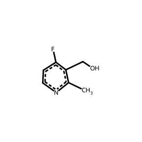 Cc1nccc(F)c1CO